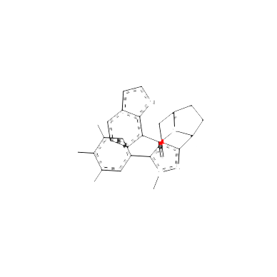 Cn1nc2c(c1-c1cc(F)c(F)c(F)c1)C[C@H]1CC[C@@H]2N1C(=O)c1cccc2cc[nH]c12